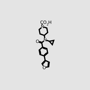 O=C(O)N1CCC(N(C(=O)c2ccc(-c3ccoc3)cc2)C2CC2)CC1